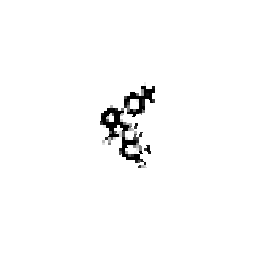 CC(C)(C)C1CCN(c2cccc3c2C(=O)N(C2CCC(=O)NC2=O)C3=O)CC1